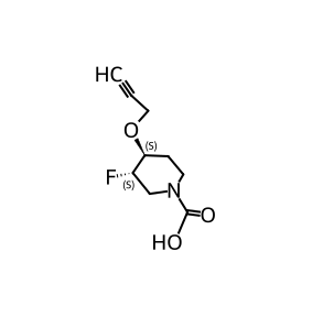 C#CCO[C@H]1CCN(C(=O)O)C[C@@H]1F